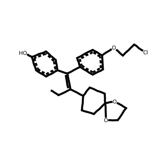 CC/C(=C(\c1ccc(O)cc1)c1ccc(OCCCl)cc1)C1CCC2(CC1)OCCO2